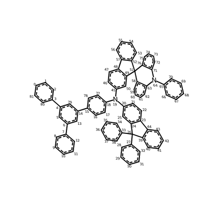 c1ccc(-c2cc(-c3ccccc3)cc(-c3ccc(N(c4ccc5c(c4)C(c4ccccc4)(c4ccccc4)c4ccccc4-5)c4ccc5c(c4)C4(c6ccccc6-5)c5ccccc5N(c5ccccc5)c5ccccc54)cc3)c2)cc1